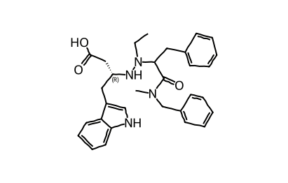 CCN(N[C@@H](CC(=O)O)Cc1c[nH]c2ccccc12)C(Cc1ccccc1)C(=O)N(C)Cc1ccccc1